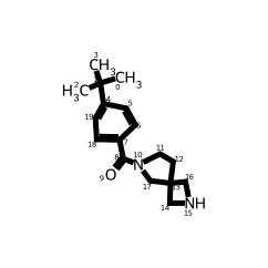 CC(C)(C)c1ccc(C(=O)N2CCC3(CNC3)C2)cc1